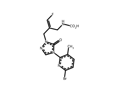 Cc1ccc(Br)nc1-n1cnn(CC(=CF)CNC(=O)O)c1=O